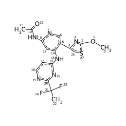 COc1nc(-c2cnc(NC(C)=O)cc2Nc2ccnc(C(C)(F)F)n2)cs1